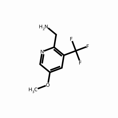 COc1cnc(CN)c(C(F)(F)F)c1